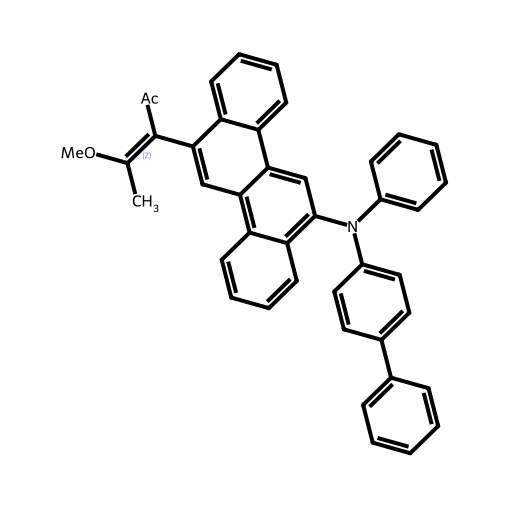 CO/C(C)=C(\C(C)=O)c1cc2c3ccccc3c(N(c3ccccc3)c3ccc(-c4ccccc4)cc3)cc2c2ccccc12